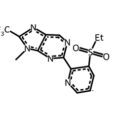 CCS(=O)(=O)c1c[c]cnc1-c1ncc2nc(C(F)(F)F)n(C)c2n1